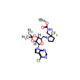 CC(C)(C)OC(=O)NCC1(C(F)(F)F)CCCN1C[C@H]1O[C@@H](n2ccc3c(Cl)ncnc32)[C@@H]2OC(C)(C)O[C@@H]21